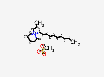 CCCCCCCCCC[N+]1(CCC)CCCCC1.CS(=O)(=O)[O-]